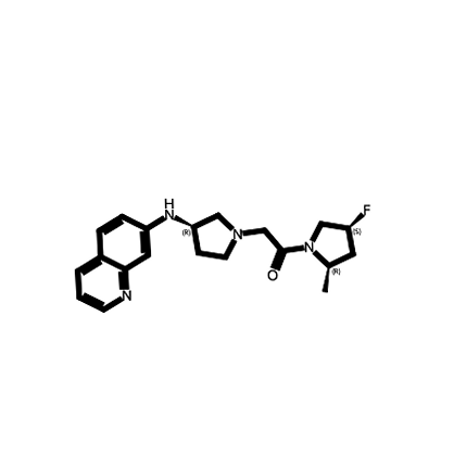 C[C@@H]1C[C@H](F)CN1C(=O)CN1CC[C@@H](Nc2ccc3cccnc3c2)C1